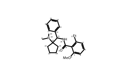 CCc1cccc(OC)c1C(=O)NC(c1ccccc1)C1(N(C)C)CCCC1